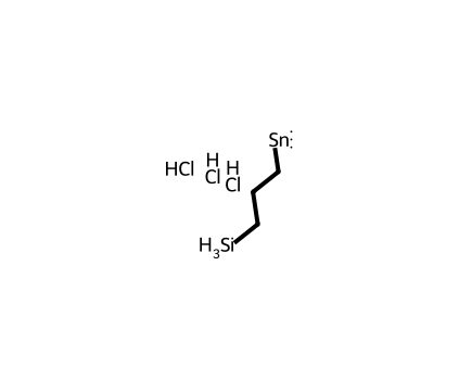 Cl.Cl.Cl.[SiH3]CC[CH2][Sn]